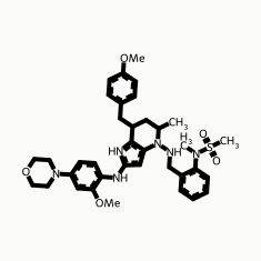 COc1ccc(CC2CC(C)N(NCc3ccccc3N(C)S(C)(=O)=O)c3cc(Nc4ccc(N5CCOCC5)cc4OC)[nH]c32)cc1